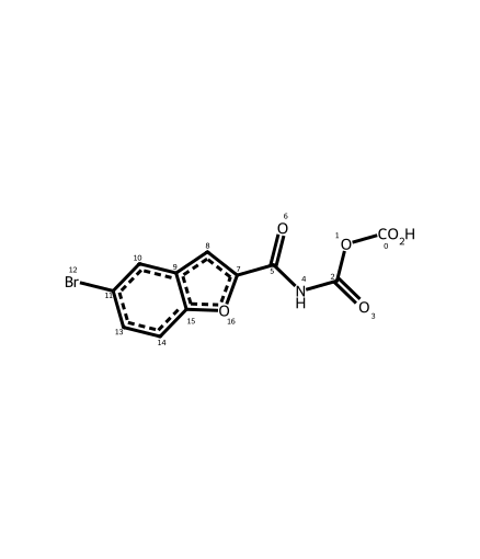 O=C(O)OC(=O)NC(=O)c1cc2cc(Br)ccc2o1